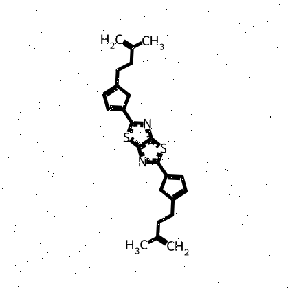 C=C(C)CCC1=CC=C(c2nc3sc(C4=CC=C(CCC(=C)C)C4)nc3s2)C1